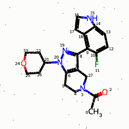 CC(=O)N1CCc2c(c(-c3c(F)ccc4[nH]ccc34)nn2C2CCOCC2)C1